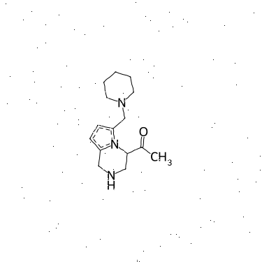 CC(=O)C1CNCc2ccc(CN3CCCCC3)n21